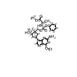 CCOc1nc(N)nc2c1ncn2[C@H]1C[C@H](O)[C@@](C)(CO[P@@](=O)(N[C@@H](C)C(=O)OC(C)C)Oc2ccccc2)C1